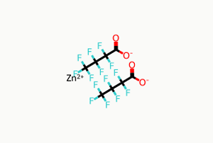 O=C([O-])C(F)(F)C(F)(F)C(F)(F)F.O=C([O-])C(F)(F)C(F)(F)C(F)(F)F.[Zn+2]